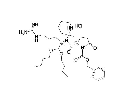 CCCCOC(OCCCC)[C@H](CCCNC(=N)N)N(C(=O)[C@@H]1CCC(=O)N1C(=O)OCc1ccccc1)C1(C)CCCCN1.Cl